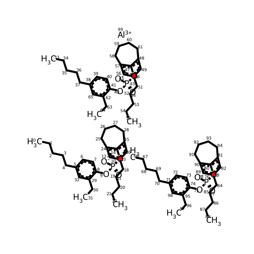 CCCCCc1ccc(OP(=O)([O-])Oc2c3cc(CCCCC)cc2CCCC3)c(CC)c1.CCCCCc1ccc(OP(=O)([O-])Oc2c3cc(CCCCC)cc2CCCC3)c(CC)c1.CCCCCc1ccc(OP(=O)([O-])Oc2c3cc(CCCCC)cc2CCCC3)c(CC)c1.[Al+3]